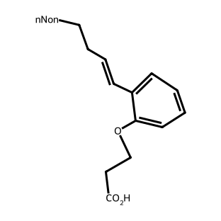 CCCCCCCCCCC/C=C/c1ccccc1OCCC(=O)O